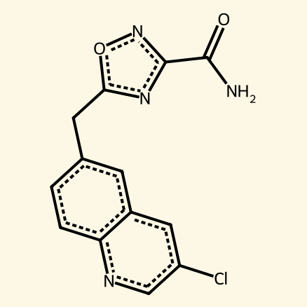 NC(=O)c1noc(Cc2ccc3ncc(Cl)cc3c2)n1